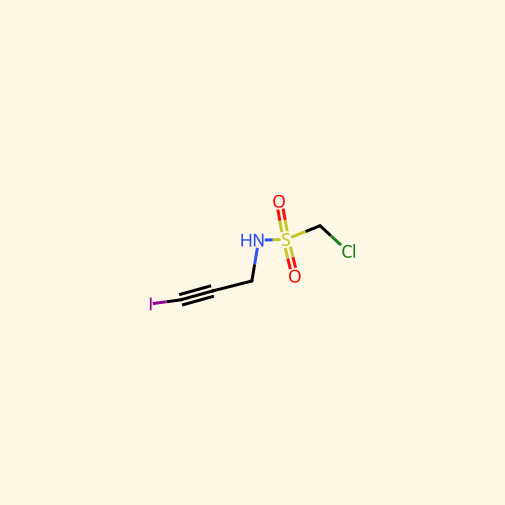 O=S(=O)(CCl)NCC#CI